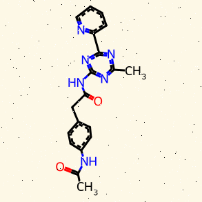 CC(=O)Nc1ccc(CC(=O)Nc2nc(C)nc(-c3ccccn3)n2)cc1